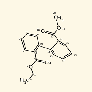 CCOC(=O)c1[c]cccc1-c1ccccc1C(=O)OC